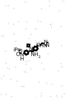 CC(C)OC(=O)Nc1ccc(-c2c(N)c3ccc(OCCc4ncn[nH]4)cc3n2C2CCC2)cc1